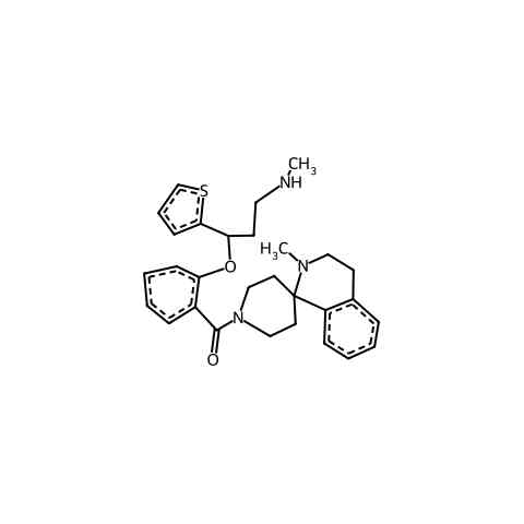 CNCCC(Oc1ccccc1C(=O)N1CCC2(CC1)c1ccccc1CCN2C)c1cccs1